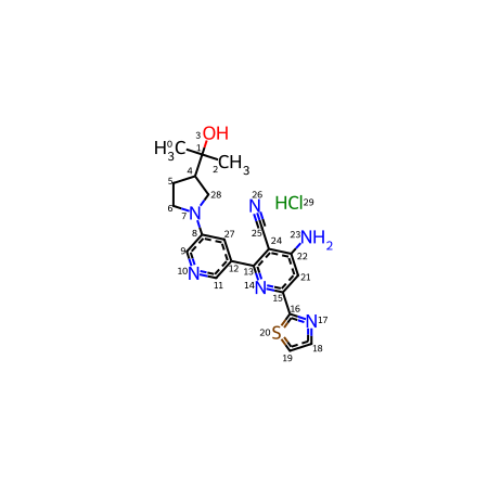 CC(C)(O)C1CCN(c2cncc(-c3nc(-c4nccs4)cc(N)c3C#N)c2)C1.Cl